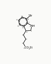 CCOC(=O)CCCC1CNc2c(Br)cccc21